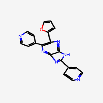 c1coc(-c2nc3[nH]c(-c4ccncc4)nc3nc2-c2ccncc2)c1